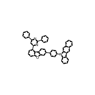 c1ccc(-c2cc(-c3cccc4oc5cc(-c6ccc(-n7c8ccccc8c8cc9ccccc9cc87)cc6)ccc5c34)nc(-c3ccccc3)n2)cc1